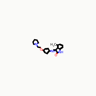 Cc1cccc2c1C(=CNc1ccc(OCCN3CCCCC3)cc1)C(=O)N2